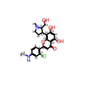 CC(C)Nc1ccc(-c2cc(=O)c3c(O)cc(O)c(C4CCN(C)C4CO)c3o2)c(Cl)c1